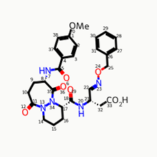 COc1ccc(C(=O)N[C@H]2CCC(=O)N3CCC[C@@H](C(=O)N[C@H](/C=N/OCc4ccccc4)CC(=O)O)N3C2=O)cc1